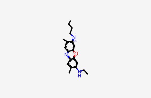 CCCC/N=c1/cc2oc3cc(NCC)c(C)cc3nc-2cc1C